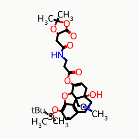 CN1CCC23c4c5ccc(O[Si](C)(C)C(C)(C)C)c4OC2C(OC(=O)CCNC(=O)CC2OC(C)(C)OC2=O)=CCC3(O)C1C5